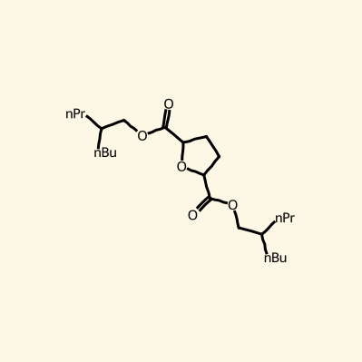 CCCCC(CCC)COC(=O)C1CCC(C(=O)OCC(CCC)CCCC)O1